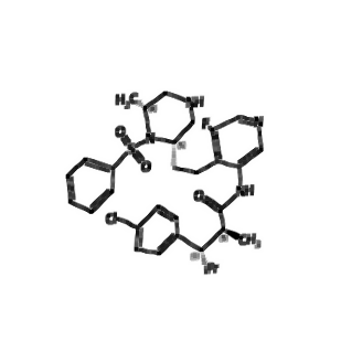 CC(C)[C@H](c1ccc(Cl)cc1)[C@H](C)C(=O)Nc1cncc(F)c1CC[C@H]1CNC[C@@H](C)N1S(=O)(=O)c1ccccc1